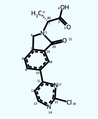 C[C@H](C(=O)O)N1Cc2ccc(-c3ccnc(Cl)n3)cc2C1=O